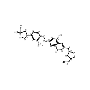 O=C(O)C1CCN(CC2=Cc3c(F)cc(OCc4ccc(N5CCC(F)(F)C5)cc4C(F)(F)F)cc3OC2)C1